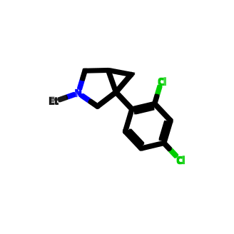 CCN1CC2CC2(c2ccc(Cl)cc2Cl)C1